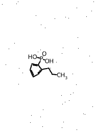 CC[CH]c1ccccc1P(=O)(O)O